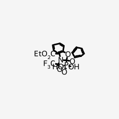 CCOC(=O)CN(C(=O)C(F)(F)F)C(Oc1ccccc1)(Oc1ccccc1)P(=O)(O)O